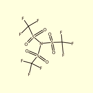 O=S(=O)(N(S(=O)(=O)C(F)(F)F)S(=O)(=O)C(F)(F)F)C(F)(F)F